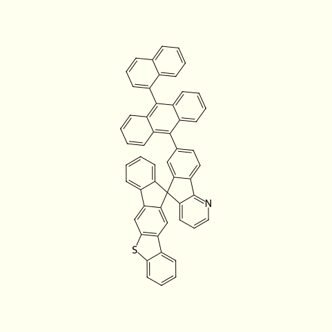 c1ccc2c(c1)-c1cc3sc4ccccc4c3cc1C21c2cc(-c3c4ccccc4c(-c4cccc5ccccc45)c4ccccc34)ccc2-c2ncccc21